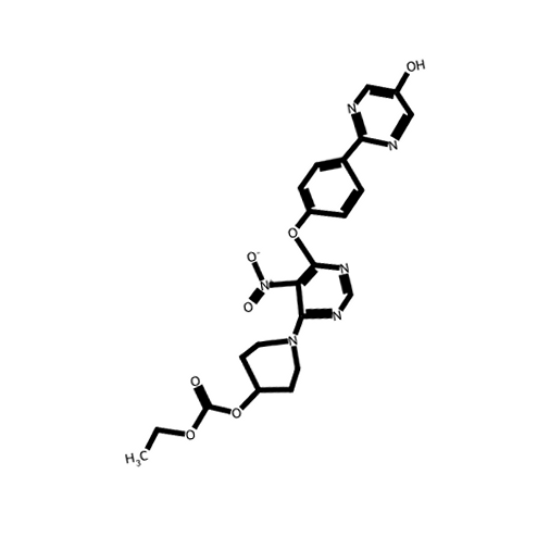 CCOC(=O)OC1CCN(c2ncnc(Oc3ccc(-c4ncc(O)cn4)cc3)c2[N+](=O)[O-])CC1